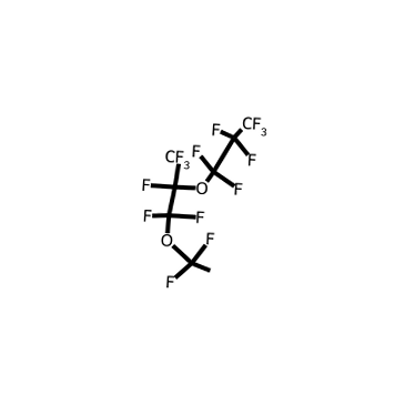 CC(F)(F)OC(F)(F)C(F)(OC(F)(F)C(F)(F)C(F)(F)F)C(F)(F)F